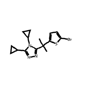 CC(C)(c1ccc(Br)s1)c1nnc(C2CC2)n1C1CC1